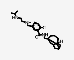 CC(C)NCCNCc1ccc(Cl)c(C(=O)NCC23CCC[C@@H]4CC(CC4C2)C3)c1